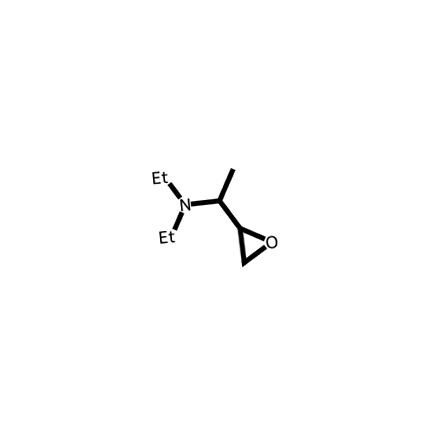 CCN(CC)C(C)C1CO1